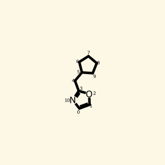 c1coc(CC2CCCC2)n1